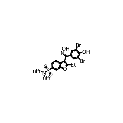 CCCN(CCC)S(=O)(=O)c1ccc2c(C(=NO)c3cc(Br)c(O)c(Br)c3)c(CC)oc2c1